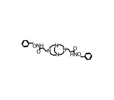 O=C(CCN1CCN2CCN(CCC(=O)NOCc3ccccc3)CCN(CC1)CC2)NOCc1ccccc1